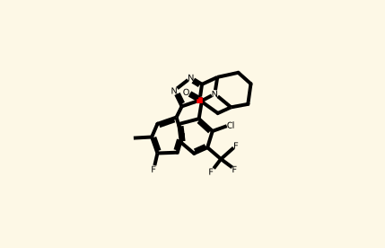 Cc1cc(-c2nnc3n2CC2CCCC3N2C(=O)c2cccc(C(F)(F)F)c2Cl)ncc1F